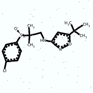 CC(C)(C)c1cc(NCC(C)(C)[S@+]([O-])c2ccc(Cl)cc2)no1